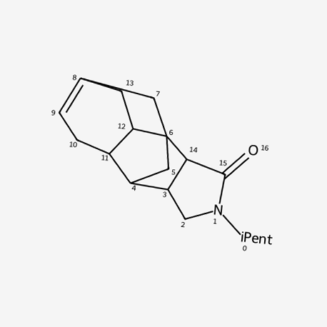 CCCC(C)N1CC2C3CC4(CC5=CCC3C4C5)C2C1=O